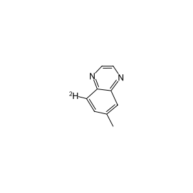 [2H]c1cc(C)cc2nccnc12